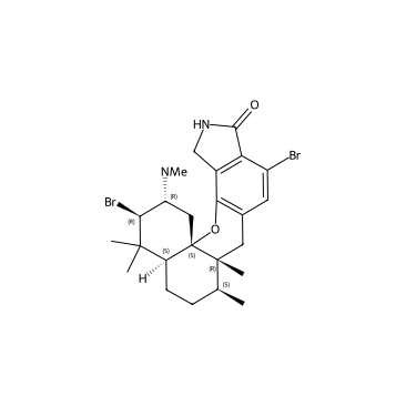 CN[C@@H]1C[C@@]23Oc4c(cc(Br)c5c4CNC5=O)C[C@]2(C)[C@@H](C)CC[C@H]3C(C)(C)[C@H]1Br